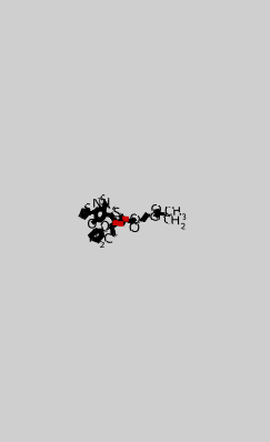 C=C/C(=C\C=C\C(=O)OCCOC(=O)C(=C)C)Oc1c(Oc2ccccc2)c(-c2cccs2)c2nsnc2c1-c1cccs1